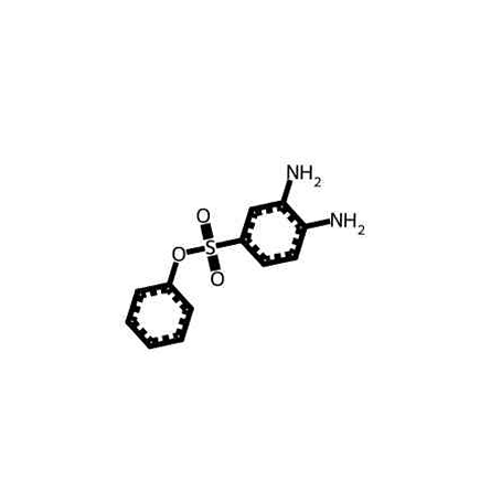 Nc1ccc(S(=O)(=O)Oc2ccccc2)cc1N